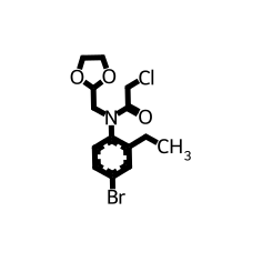 CCc1cc(Br)ccc1N(CC1OCCO1)C(=O)CCl